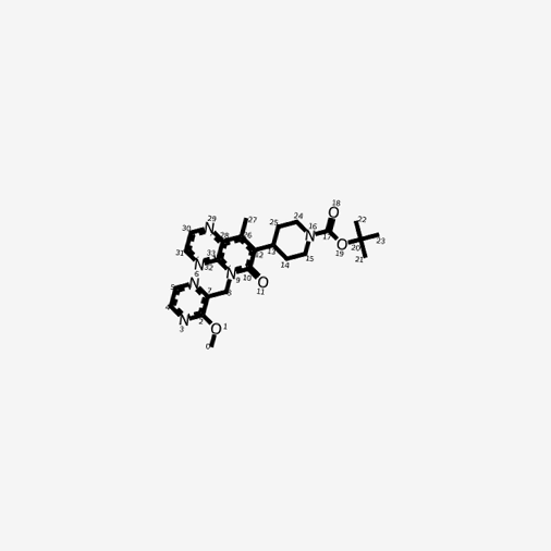 COc1nccnc1Cn1c(=O)c(C2CCN(C(=O)OC(C)(C)C)CC2)c(C)c2nccnc21